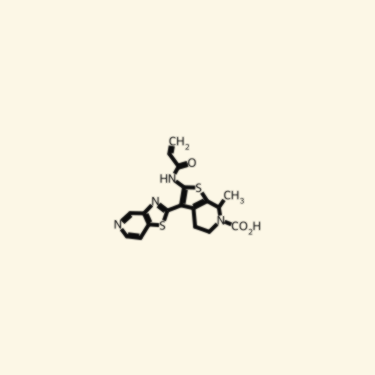 C=CC(=O)Nc1sc2c(c1-c1nc3cnccc3s1)CCN(C(=O)O)C2C